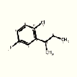 CC[C](C)c1cc(F)ccc1Cl